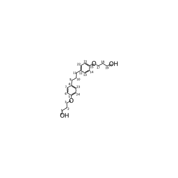 OCCCOc1ccc(CCCc2ccc(OCCCO)cc2)cc1